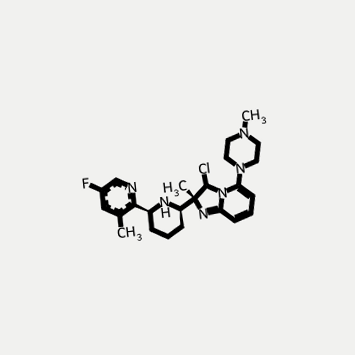 Cc1cc(F)cnc1[C@@H]1CCC[C@H]([C@@]2(C)N=C3C=CC=C(N4CCN(C)CC4)N3C2Cl)N1